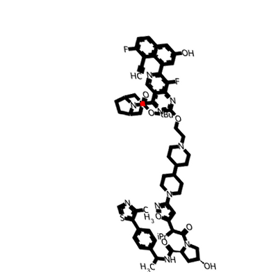 C#Cc1c(F)ccc2cc(O)cc(-c3ncc4c(N5CC6CCC(C5)N6C(=O)OC(C)(C)C)nc(OCCN5CCC(C6CCN(c7cc(C(C(=O)N8C[C@H](O)C[C@H]8C(=O)NC(C)c8ccc(-c9scnc9C)cc8)C(C)C)on7)CC6)CC5)nc4c3F)c12